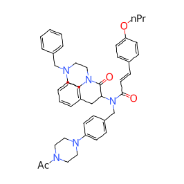 CCCOc1ccc(C=CC(=O)N(Cc2ccc(N3CCN(C(C)=O)CC3)cc2)C(Cc2ccccc2)C(=O)N2CCN(Cc3ccccc3)CC2)cc1